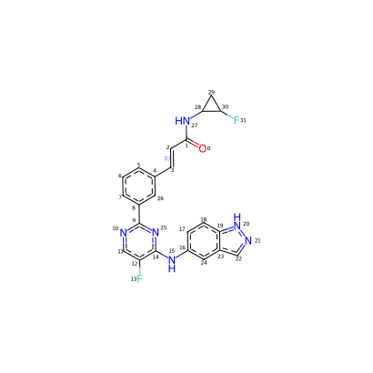 O=C(/C=C/c1cccc(-c2ncc(F)c(Nc3ccc4[nH]ncc4c3)n2)c1)NC1CC1F